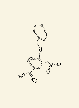 O=C(O)c1ccc(OCc2ccccc2)c(C[N+](=O)[O-])c1